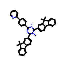 CN1C(c2ccc3c(c2)C(C)(C)c2ccccc2-3)N=C(c2ccc(-c3ccccn3)cc2)NC1c1ccc2c(c1)C(C)(C)c1ccccc1-2